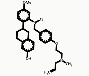 C=CCN(C)CCOc1ccc(CN(CC)c2cc(OC)ccc2C2CCc3cc(O)ccc3C2)cc1